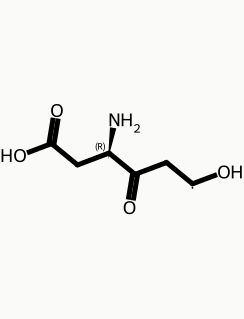 N[C@H](CC(=O)O)C(=O)C[CH]O